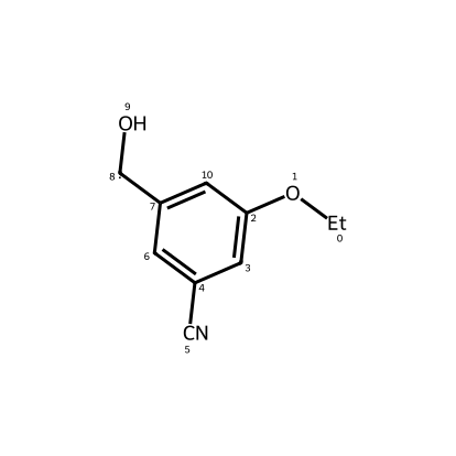 CCOc1cc(C#N)cc([CH]O)c1